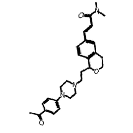 CC(=O)c1ccc(N2CCN(CCC3OCCc4cc(C=CC(=O)N(C)C)ccc43)CC2)cc1